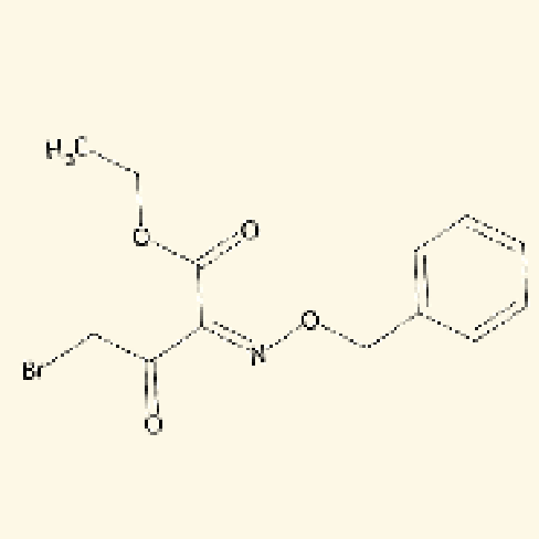 CCOC(=O)C(=NOCc1ccccc1)C(=O)CBr